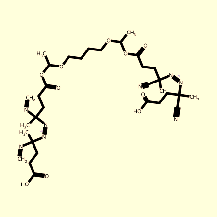 C=NC(C)(CCC(=O)O)/N=N\C(C)(CCC(=O)OC(C)OCCCCOC(C)OC(=O)CCC(C)(C#N)/N=N\C(C)(C#N)CCC(=O)O)N=C